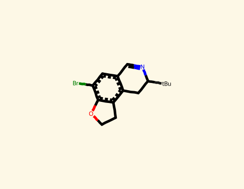 CC(C)(C)C1Cc2c(cc(Br)c3c2CCO3)C=N1